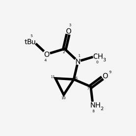 CN(C(=O)OC(C)(C)C)C1(C(N)=O)CC1